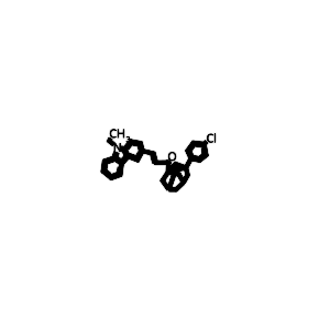 CCn1c2ccccc2c2cc(C=CC(=O)C34CC5CC(C3)CC(c3ccc(Cl)cc3)(C5)C4)ccc21